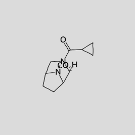 O=C(C1CC1)N1CC2CCC(C1)N2C(=O)O